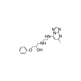 Cc1cc(NCCNCC(O)COc2ccccc2)n2ncnc2n1